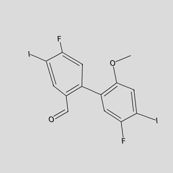 COc1cc(I)c(F)cc1-c1cc(F)c(I)cc1C=O